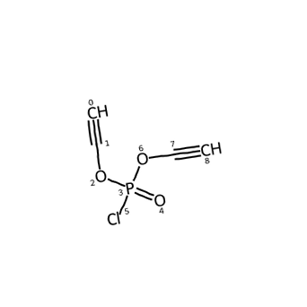 C#COP(=O)(Cl)OC#C